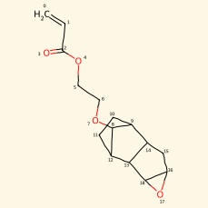 C=CC(=O)OCCOC1C2CCC1C1C2CC2OC21